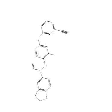 N#Cc1cc(Oc2ccc(NN(C=O)c3ccc4c(c3)CCC4)c(F)c2)ccn1